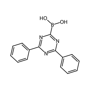 OB(O)c1nc(-c2ccccc2)nc(-c2ccccc2)n1